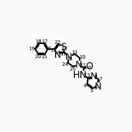 O=C(Nc1ccncn1)N1CCN(c2nc(-c3ccccc3)cs2)CC1